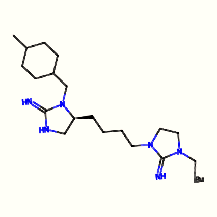 CCC(C)CN1CCN(CCCC[C@H]2CNC(=N)N2CC2CCC(C)CC2)C1=N